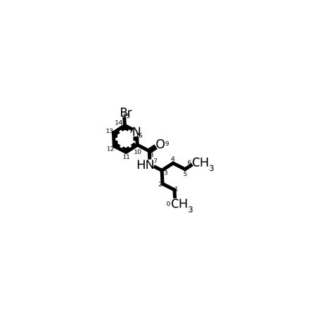 CCCC(CCC)NC(=O)c1cccc(Br)n1